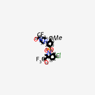 COc1ccc(S(=O)(=O)n2cc(C(=O)C(F)(F)F)c3ccc(Cl)cc32)cc1N1CCN(C(=O)C(F)(F)F)CC1